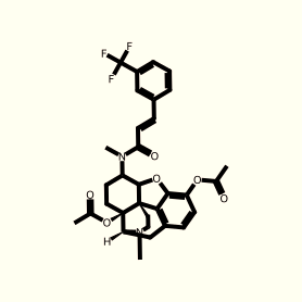 CC(=O)Oc1ccc2c3c1OC1C(N(C)C(=O)/C=C/c4cccc(C(F)(F)F)c4)CC[C@@]4(OC(C)=O)[C@@H](C2)N(C)CC[C@]314